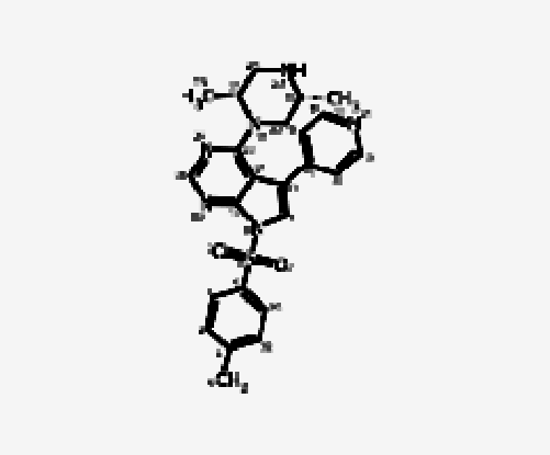 Cc1ccc(S(=O)(=O)n2cc(-c3ccncc3)c3c(N4C[C@@H](C)NC[C@@H]4C)ncnc32)cc1